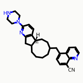 N#Cc1ccc(CC2CCCCC3Cc4nc(N5CCNCC5)ccc4[C@@H]3CC2)c2cccnc12